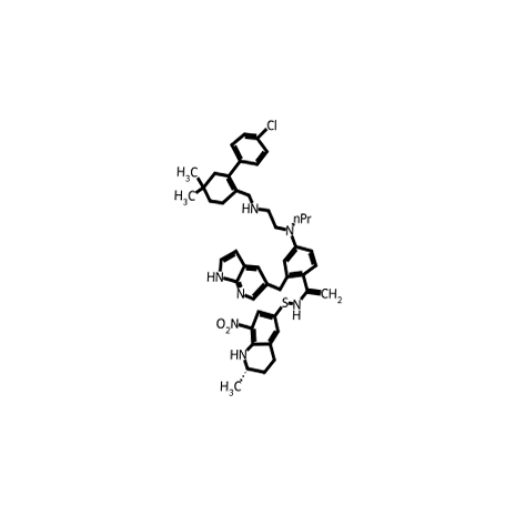 C=C(NSc1cc2c(c([N+](=O)[O-])c1)N[C@@H](C)CC2)c1ccc(N(CCC)CCNCC2=C(c3ccc(Cl)cc3)CC(C)(C)CC2)cc1Cc1cnc2[nH]ccc2c1